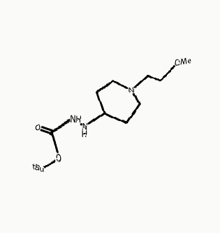 COCCN1CCC(NNC(=O)OC(C)(C)C)CC1